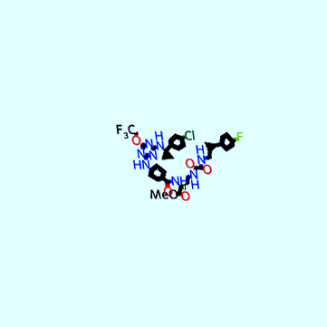 COC(=O)[C@@H](CCNC(=O)C(=O)NCC1CC1c1ccc(F)cc1)NC(=O)c1ccc(Nc2nc(NC3(c4ccc(Cl)cc4)CC3)nc(OCC(F)(F)F)n2)cc1